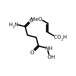 COC=CC(=O)O.NC(=O)CCC(=O)NO